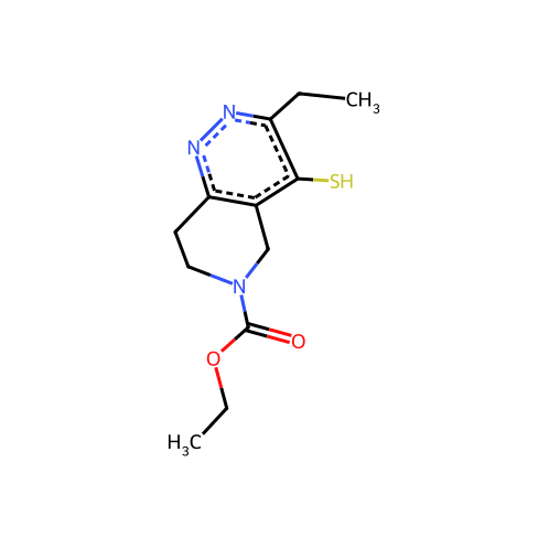 CCOC(=O)N1CCc2nnc(CC)c(S)c2C1